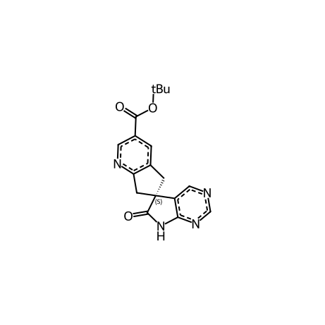 CC(C)(C)OC(=O)c1cnc2c(c1)C[C@@]1(C2)C(=O)Nc2ncncc21